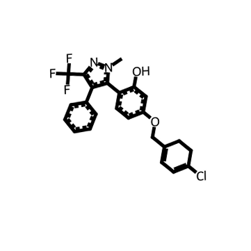 Cn1nc(C(F)(F)F)c(-c2ccccc2)c1-c1ccc(OCC2=CC=C(Cl)CC2)cc1O